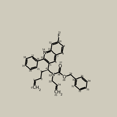 C=CCC[C@@H](c1cc2ccc(F)cc2nc1-c1ccccc1)N(CC=C)C(=O)OCc1ccccc1